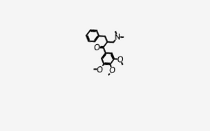 COc1cc(C(=O)C(Cc2ccccc2)CN(C)C)cc(OC)c1OC